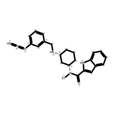 CCN(C(=O)c1cc2ccccc2[nH]1)[C@H]1CCC[C@@H](NCc2cccc(N=[N+]=N)c2)C1